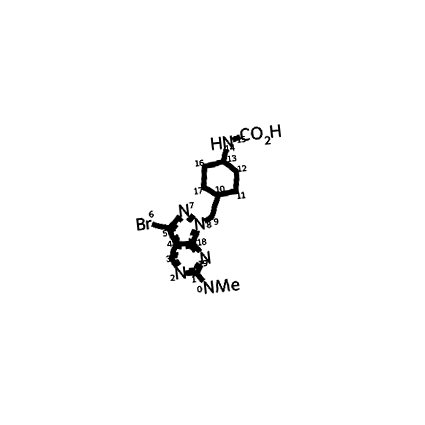 CNc1ncc2c(Br)nn(CC3CCC(NC(=O)O)CC3)c2n1